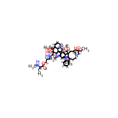 CCC1(O)CC2CN(CCc3c([nH]c4ccccc34)C(C(=O)OC)(c3cc4c(cc3OC)N(C)C3C45CCN4CC=C[C@](CC)(C45)[C@@H](O)[C@]3(O)C(=O)NCCCOC(=O)C(C)NC)C2)C1